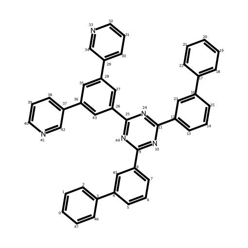 c1ccc(-c2cccc(-c3nc(-c4cccc(-c5ccccc5)c4)nc(-c4cc(-c5cccnc5)cc(-c5cccnc5)c4)n3)c2)cc1